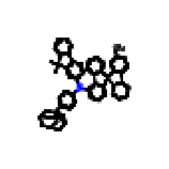 CC(C)(C)c1ccc2c(c1)C1(c3ccccc3-2)c2ccccc2-c2c(N(c3ccc(C45CC6CC(CC(C6)C4)C5)cc3)c3ccc4c(c3)C(C)(C)c3ccccc3-4)cccc21